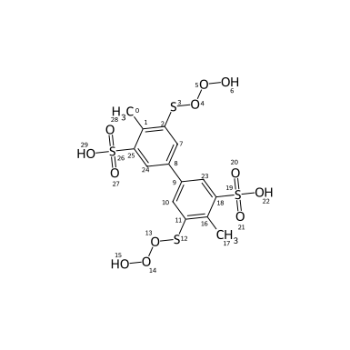 Cc1c(SOOO)cc(-c2cc(SOOO)c(C)c(S(=O)(=O)O)c2)cc1S(=O)(=O)O